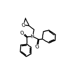 O=C(c1ccccc1)N(CC1CO1)C(=O)C1C=CC=CC1